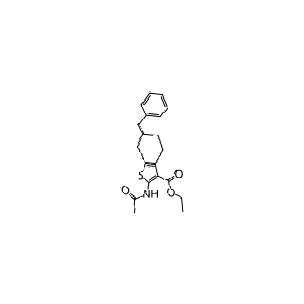 CCOC(=O)c1c(NC(C)=O)sc2c1CCC(Cc1ccccc1)C2